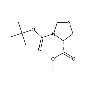 COC(=O)[C@H]1CSCN1C(=O)OC(C)(C)C